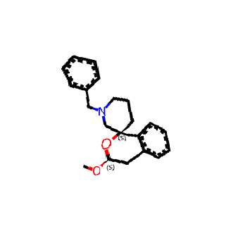 CO[C@@H]1Cc2ccccc2[C@]2(CCCN(Cc3ccccc3)C2)O1